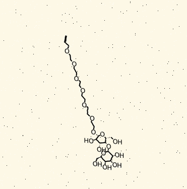 C=CCOCCOCCOCCOCCOCCOCCO[C@@H]1O[C@H](CO)[C@@H](O[C@@H]2O[C@H](CO)[C@H](O)[C@H](O)[C@H]2O)[C@H](O)[C@H]1O